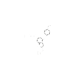 O=C(O)c1cc(Oc2ccc(C(F)F)cc2)c2cc(CBr)oc2c1